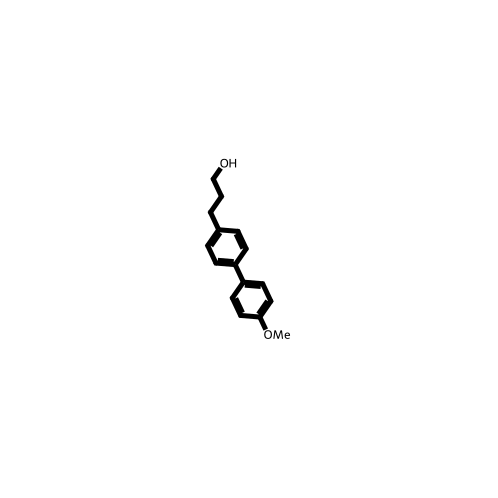 COc1ccc(-c2ccc(CCCO)cc2)cc1